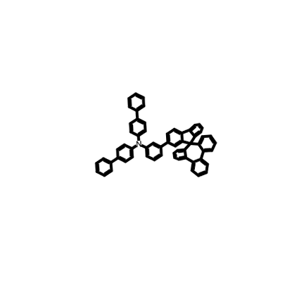 c1ccc(-c2ccc(N(c3ccc(-c4ccccc4)cc3)c3cccc(-c4ccc5c(c4)C4(c6ccccc6-c6ccccc6-c6ccccc64)c4ccccc4-5)c3)cc2)cc1